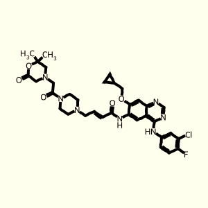 CC1(C)CN(CC(=O)N2CCN(CC=CC(=O)Nc3cc4c(Nc5ccc(F)c(Cl)c5)ncnc4cc3OCC3CC3)CC2)CC(=O)O1